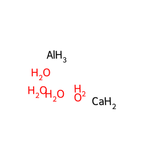 O.O.O.O.[AlH3].[CaH2]